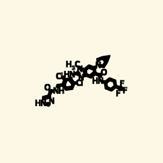 Cn1c(Nc2c(Cl)ccc(CNC(=O)c3c[nH]cn3)c2Cl)nc2cc(C(=O)NC3CCC(C(F)(F)F)CC3)c(N3CC4CC4C3)cc21